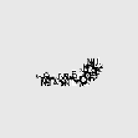 Cc1nnc(COc2cnc(C(F)=Cc3ccc(F)c(C4(C)CS(=O)(=O)C(C)(C)C(N)=N4)c3)cn2)o1